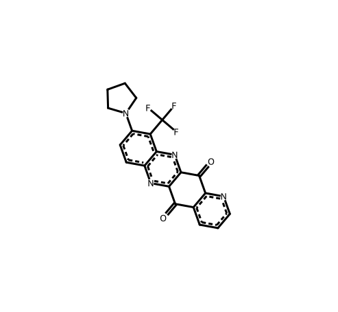 O=C1c2cccnc2C(=O)c2nc3c(C(F)(F)F)c(N4CCCC4)ccc3nc21